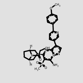 COc1ccc(-c2ccc(-c3cnn4c(N)c(S(C)(=O)=O)c([C@H]5C[C@H]6CC[C@@H](C5)N6C(=O)CO)nc34)cn2)cc1